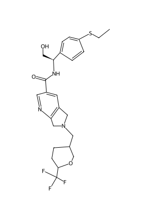 CCSc1ccc([C@H](CO)NC(=O)c2cnc3c(c2)CN(CC2CCC(C(F)(F)F)OC2)C3)cc1